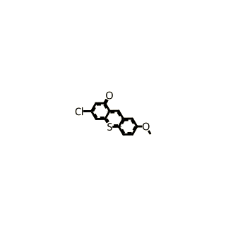 COc1ccc2sc3cc(Cl)cc(=O)c-3cc2c1